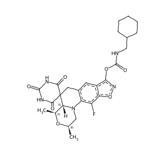 C[C@@H]1CN2c3c(cc4c(OC(=O)NCC5CCCCC5)noc4c3F)CC3(C(=O)NC(=O)NC3=O)[C@H]2[C@H](C)O1